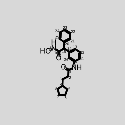 O=C(CCC1CCCC1)Nc1cccc(C(C(=O)NO)c2ccccc2)c1